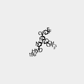 CC(C)(C)CNC(=O)c1cncc(N2CC(C)(C)Oc3cc(C(=O)N4CCC(F)(F)CC4)cnc32)c1